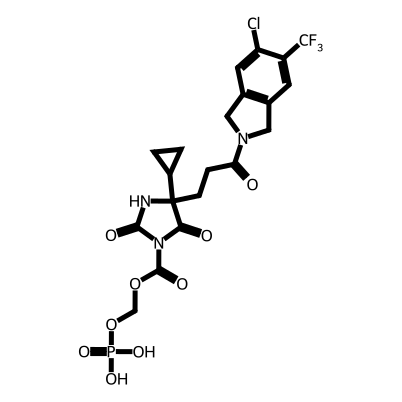 O=C(CCC1(C2CC2)NC(=O)N(C(=O)OCOP(=O)(O)O)C1=O)N1Cc2cc(Cl)c(C(F)(F)F)cc2C1